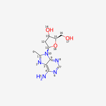 Cc1nc2c(N)ncnc2n1[C@H]1CC(O)[C@@H](CO)O1